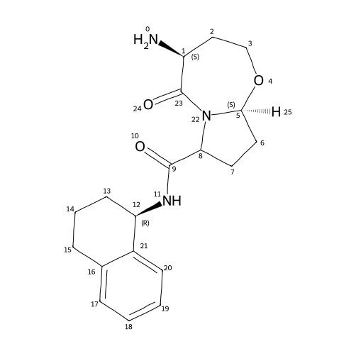 N[C@H]1CCO[C@H]2CCC(C(=O)N[C@@H]3CCCc4ccccc43)N2C1=O